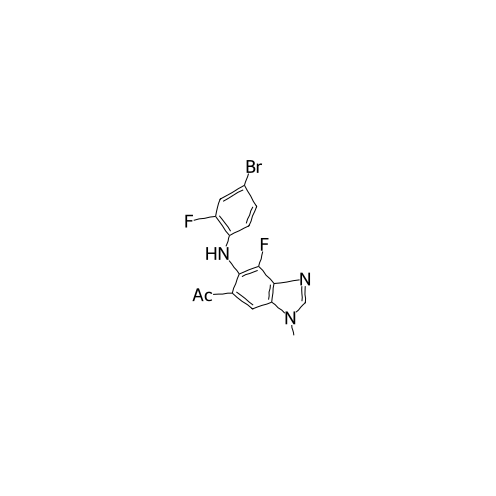 CC(=O)c1cc2c(ncn2C)c(F)c1Nc1ccc(Br)cc1F